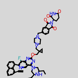 C#Cc1cccc2cccc(-c3ncc4c(N5CC(CC)NC(CC)C5)nc(OCC5(CN6CCN(Cc7ccc8c(c7)C(=O)N(C7CCC(=O)NC7=O)C8=O)CC6)CC5)nc4c3F)c12